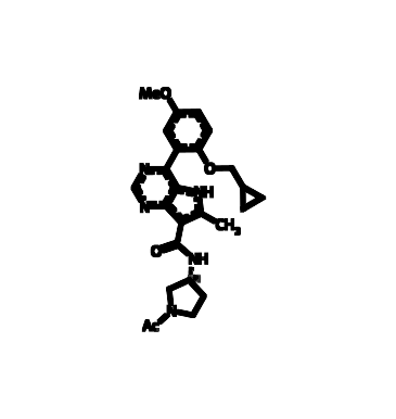 COc1ccc(OCC2CC2)c(-c2ncnc3c(C(=O)N[C@@H]4CCN(C(C)=O)C4)c(C)[nH]c23)c1